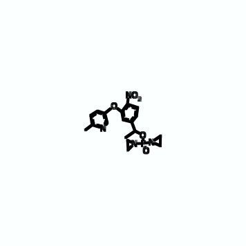 Cc1ccc(Oc2cc(C(C)OP(=O)(N3CC3)N3CC3)ccc2[N+](=O)[O-])cn1